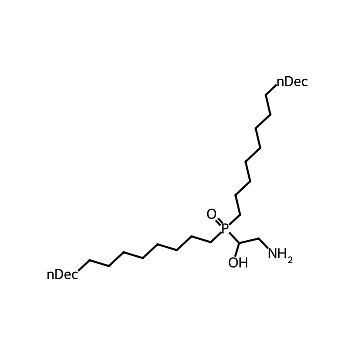 CCCCCCCCCCCCCCCCCCP(=O)(CCCCCCCCCCCCCCCCCC)C(O)CN